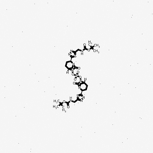 CC(C)(C)OC(=O)NCc1nnc([C@@H]2CC[C@@H]3CN2C(=O)N3OS(=O)(=O)ON2C(=O)N3C[C@H]2CC[C@H]3c2nnc(CNC(=O)OC(C)(C)C)s2)s1